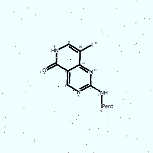 CCCC(C)Nc1ncc2c(=O)[nH]cc(I)c2n1